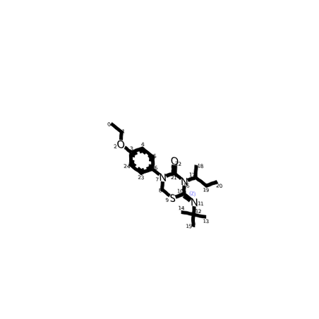 CCOc1ccc(N2CS/C(=N\C(C)(C)C)N(C(C)CC)C2=O)cc1